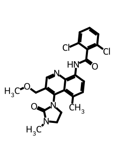 COCc1cnc2c(NC(=O)c3c(Cl)cccc3Cl)ccc(C)c2c1N1CCN(C)C1=O